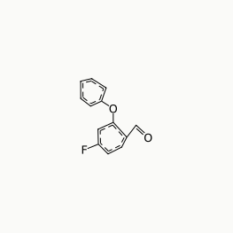 O=Cc1ccc(F)cc1Oc1ccccc1